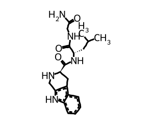 CC(C)C[C@H](NC(=O)[C@H]1Cc2c([nH]c3ccccc23)CN1)C(=O)NCC(N)=O